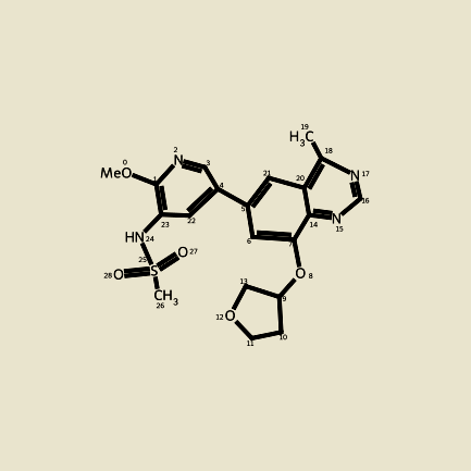 COc1ncc(-c2cc(OC3CCOC3)c3ncnc(C)c3c2)cc1NS(C)(=O)=O